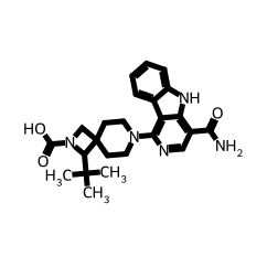 CC(C)(C)C1N(C(=O)O)CC12CCN(c1ncc(C(N)=O)c3[nH]c4ccccc4c13)CC2